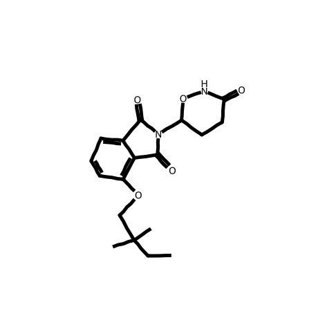 CCC(C)(C)COc1cccc2c1C(=O)N(C1CCC(=O)NO1)C2=O